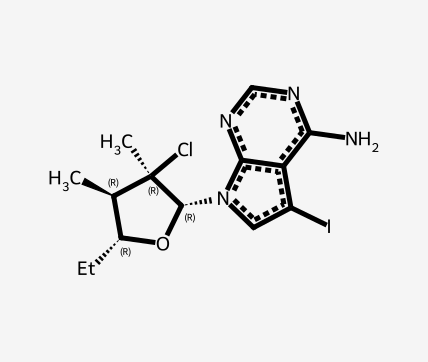 CC[C@H]1O[C@@H](n2cc(I)c3c(N)ncnc32)[C@](C)(Cl)[C@@H]1C